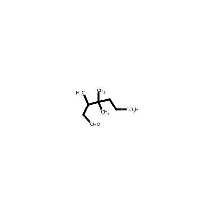 CC(CC=O)C(C)(C)CCC(=O)O